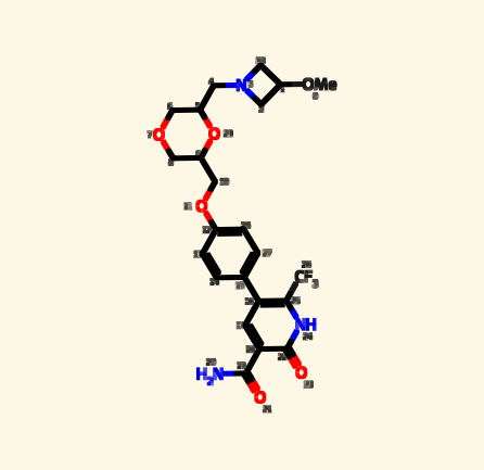 COC1CN(CC2COCC(COc3ccc(-c4cc(C(N)=O)c(=O)[nH]c4C(F)(F)F)cc3)O2)C1